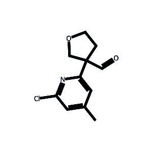 Cc1cc(Cl)nc(C2(C=O)CCOC2)c1